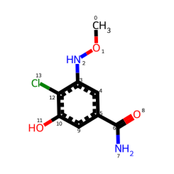 CONc1cc(C(N)=O)cc(O)c1Cl